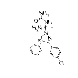 C[C@](N)(NC(N)=O)N1C[C@@H](c2ccccc2)C(c2ccc(Cl)cc2)=N1